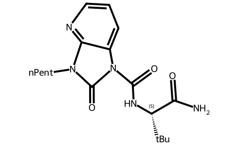 CCCCCn1c(=O)n(C(=O)N[C@H](C(N)=O)C(C)(C)C)c2cccnc21